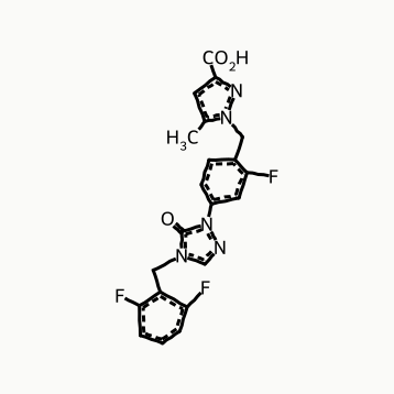 Cc1cc(C(=O)O)nn1Cc1ccc(-n2ncn(Cc3c(F)cccc3F)c2=O)cc1F